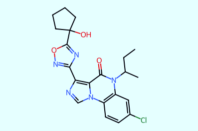 CCC(C)n1c(=O)c2c(-c3noc(C4(O)CCCC4)n3)ncn2c2ccc(Cl)cc21